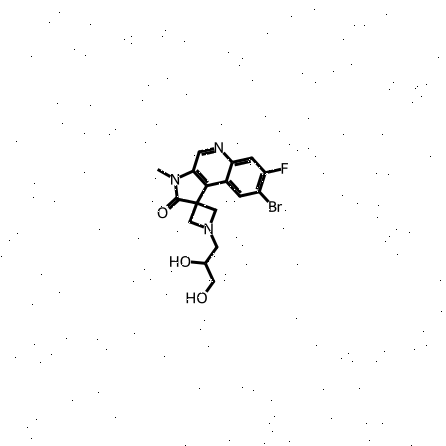 CN1C(=O)C2(CN(CC(O)CO)C2)c2c1cnc1cc(F)c(Br)cc21